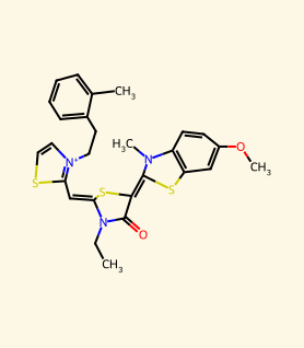 CCn1c(=O)/c(=C2\Sc3cc(OC)ccc3N2C)s/c1=C\c1scc[n+]1CCc1ccccc1C